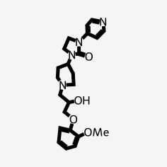 COc1ccccc1OCC(O)CN1CCC(N2CCN(c3ccncc3)C2=O)CC1